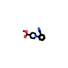 COC(=O)C1CCN(c2ccccc2C#N)CC1